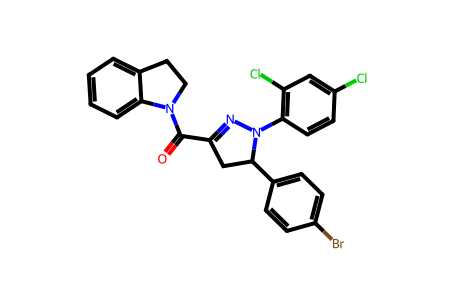 O=C(C1=NN(c2ccc(Cl)cc2Cl)C(c2ccc(Br)cc2)C1)N1CCc2ccccc21